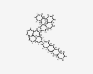 c1cc2ccc3cccc4ccc(c1)c2c34.c1ccc2c(c1)c1cccc3ccc4cccc2c4c31.c1ccc2cc3cc4ccccc4cc3cc2c1